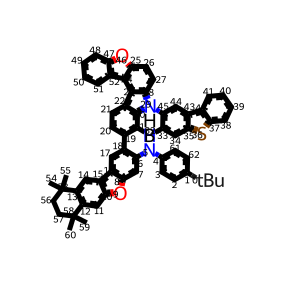 CC(C)(C)c1ccc(Nc2cc3oc4cc5c(cc4c3cc2-c2ccc3c4c6c(ccc4n4c3c2Bc2cc3sc7ccccc7c3cc2-4)oc2ccccc26)C(C)(C)CCC5(C)C)cc1